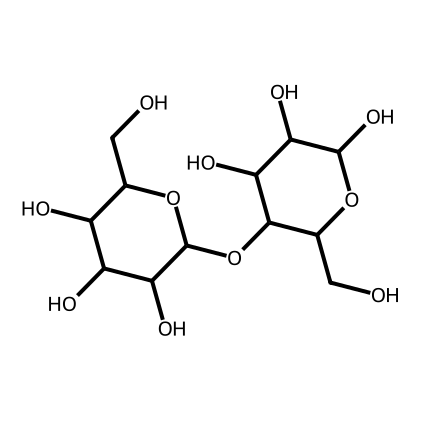 OCC1OC(OC2C(CO)OC(O)C(O)C2O)C(O)C(O)C1O